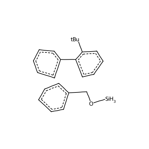 CC(C)(C)c1ccccc1-c1ccccc1.[SiH3]OCc1ccccc1